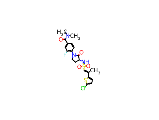 C/C(=C\S(=O)(=O)N[C@H]1CCN(c2ccc(C(=O)N(C)C)cc2F)C1=O)c1ccc(Cl)s1